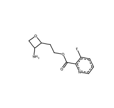 NC1COC1CCOC(=O)c1ncccc1F